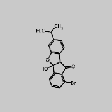 CC(C)c1ccc2c(c1)OC1(O)c3cccc(Br)c3C(=O)C21